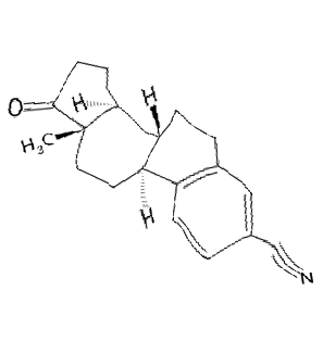 C[C@]12CC[C@@H]3c4ccc(C#N)cc4CC[C@H]3[C@@H]1CCC2=O